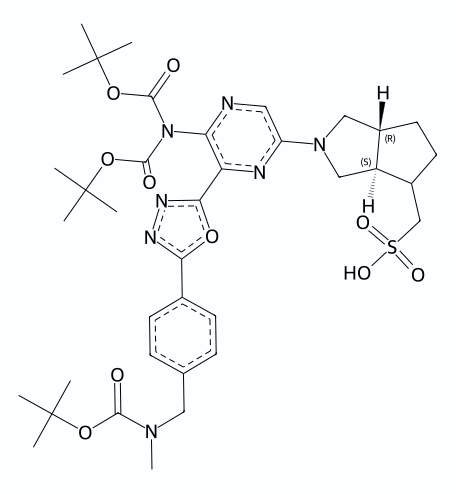 CN(Cc1ccc(-c2nnc(-c3nc(N4C[C@@H]5CCC(CS(=O)(=O)O)[C@H]5C4)cnc3N(C(=O)OC(C)(C)C)C(=O)OC(C)(C)C)o2)cc1)C(=O)OC(C)(C)C